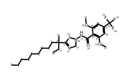 CCCCCCCCCC(C)(CC)C1=NCN(NC(=O)c2c(OC)cc(C(F)(F)F)cc2OC)S1